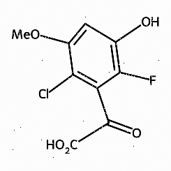 COc1cc(O)c(F)c(C(=O)C(=O)O)c1Cl